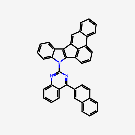 c1ccc2cc(-c3nc(-n4c5c(c6ccccc64)-c4cc6ccccc6c6cccc-5c46)nc4ccccc34)ccc2c1